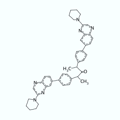 CC(C(=O)C(C)c1ccc(-c2ccc3ncc(N4CCCCC4)nc3c2)cc1)c1ccc(-c2ccc3ncc(N4CCCCC4)nc3c2)cc1